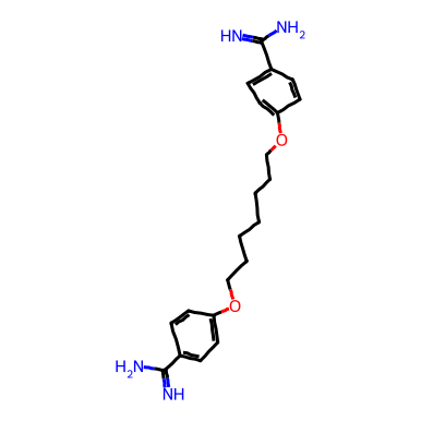 N=C(N)c1ccc(OCCCCCCCOc2ccc(C(=N)N)cc2)cc1